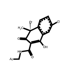 CC[C@@]1(C)C(=O)C(C(=O)NCC(C)=O)=C(O)c2cc(Cl)ccc21